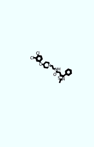 Cc1nc(-c2ccccc2)c(CC(=O)NCCN2CCC(Oc3ccc(Cl)c(Cl)c3)CC2)s1